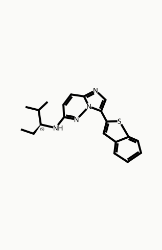 CC[C@H](Nc1ccc2ncc(-c3cc4ccccc4s3)n2n1)C(C)C